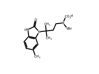 Cc1ccc2[nH]c(=O)n(C(C)(C)CCN(C(=O)O)C(C)(C)C)c2c1